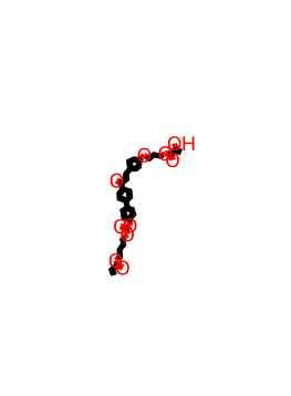 C=CC(=O)OCCCCOC(=O)Oc1ccc(-c2ccc(C(=O)/C=C/c3ccc(OCCCOC(=O)C(=C)O)cc3)cc2)cc1